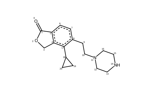 O=C1OCc2c1ccc(CCN1CCNCC1)c2C1CC1